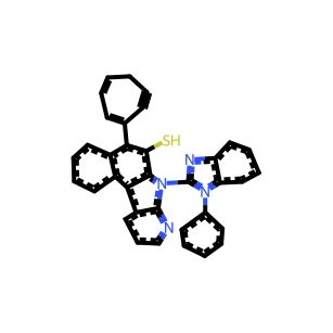 Sc1c(C2=CC=CCC#C2)c2ccccc2c2c3cccnc3n(-c3nc4ccccc4n3-c3ccccc3)c12